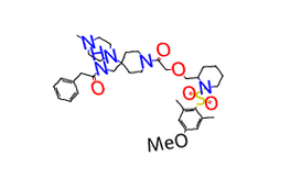 COc1cc(C)c(S(=O)(=O)N2CCCCC2COCC(=O)N2CCC(CNC(=O)Cc3ccccc3)(N3CCN(C)CC3)CC2)c(C)c1